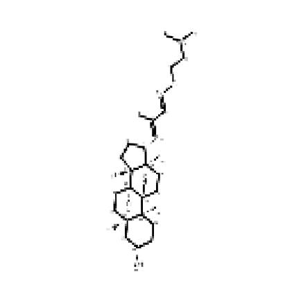 CC(/C=N/OCCN(C)C)=C\[C@H]1CC[C@H]2[C@@H]3CC[C@@H]4C[C@@H](O)CC[C@]4(C)[C@H]3CC[C@]12C